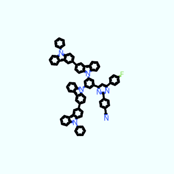 N#Cc1ccc(-c2nc(-c3ccc(F)cc3)cc(-c3cc(-n4c5ccccc5c5cc(-c6ccc7c(c6)c6ccccc6n7-c6ccccc6)ccc54)cc(-n4c5ccccc5c5cc(-c6ccc7c(c6)c6ccccc6n7-c6ccccc6)ccc54)c3)n2)cc1